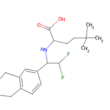 CC(C)(C)CCC(NC(c1ccc2c(c1)CCCC2)C(F)F)C(=O)O